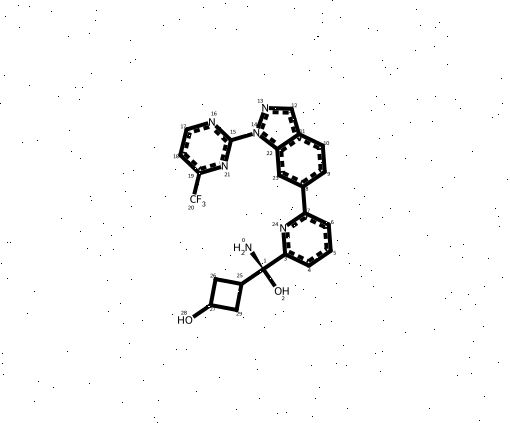 N[C@](O)(c1cccc(-c2ccc3cnn(-c4nccc(C(F)(F)F)n4)c3c2)n1)C1CC(O)C1